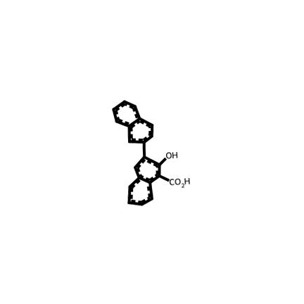 O=C(O)c1c(O)c(-c2ccc3ccccc3c2)cc2ccccc12